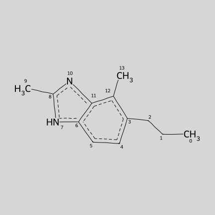 CCCc1ccc2[nH]c(C)nc2c1C